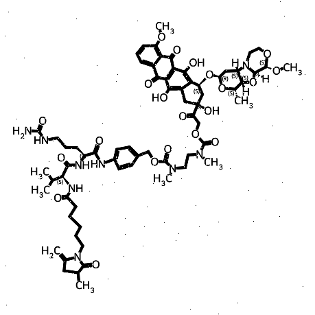 C=C1CC(C)C(=O)N1CCCCCC(=O)N[C@H](C(=O)N[C@@H](CCCNC(N)=O)C(=O)Nc1ccc(COC(=O)N(C)CCN(C)C(=O)OCC(=O)[C@]2(O)Cc3c(O)c4c(c(O)c3[C@@H](O[C@H]3C[C@H]5[C@H](O[C@@H]6[C@@H](OC)OCCN65)[C@H](C)O3)C2)C(=O)c2c(OC)cccc2C4=O)cc1)C(C)C